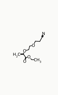 C=C(OCCOCCC#N)C(=O)OCC